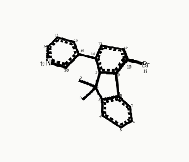 CC1(C)c2ccccc2-c2c(Br)ccc(-c3cccnc3)c21